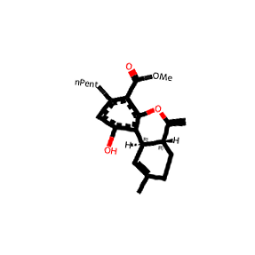 C=C1Oc2c(C(=O)OC)c(CCCCC)cc(O)c2[C@@H]2C=C(C)CC[C@@H]12